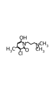 Cc1cc(O)n(CCCN(C)C)c(=O)c1Cl